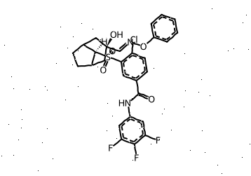 O=C(Nc1cc(F)c(F)c(F)c1)c1ccc(Cl)c(S(=O)(=O)[C@H]2C3CCC2C[C@](O)(/C=N/Oc2ccccc2)C3)c1